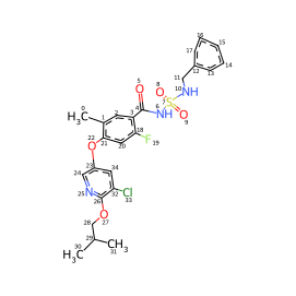 Cc1cc(C(=O)NS(=O)(=O)NCc2ccccc2)c(F)cc1Oc1cnc(OCC(C)C)c(Cl)c1